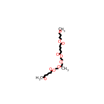 COCCCCOC(=O)CCCCC(=O)OCCOCC(C)OCCOC(=O)CCCCC(C)=O